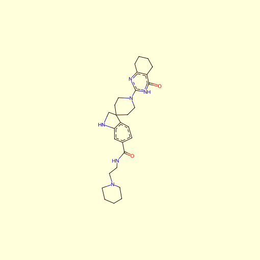 O=C(NCCN1CCCCC1)c1ccc2c(c1)NCC21CCN(c2nc3c(c(=O)[nH]2)CCCC3)CC1